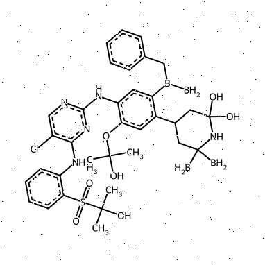 BB(Cc1ccccc1)c1cc(Nc2ncc(Cl)c(Nc3ccccc3S(=O)(=O)C(C)(C)O)n2)c(OC(C)(C)O)cc1C1CC(B)(B)NC(O)(O)C1